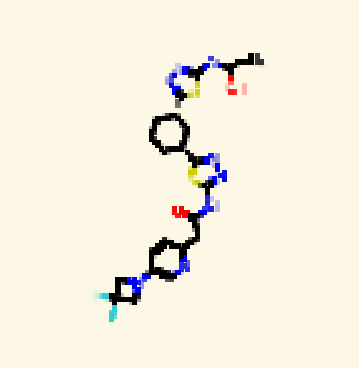 CC(O)Nc1nnc([C@H]2CCC[C@H](c3nnc(NC(=O)Cc4ccc(N5CC(F)(F)C5)cn4)s3)C2)s1